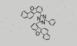 c1ccc(-c2nc(-c3cccc4oc5c6ccccc6ccc5c34)nc(-c3cccc4oc5c6ccccc6ccc5c34)n2)cc1